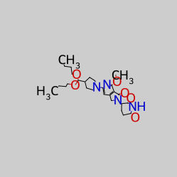 CCCCOC(OCCCC)C1CCN(c2cc3c(c(OC)n2)C(=O)N(C2CCC(=O)NC2=O)C3)CC1